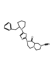 N#CN1CCN2CCN(c3ncc(N4CCCCC4Cc4ccccc4)s3)C(=O)C2C1